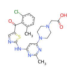 Cc1nc(Nc2ncc(C(=O)c3c(C)cccc3Cl)s2)cc(N2CCN(CC(=O)O)CC2)n1